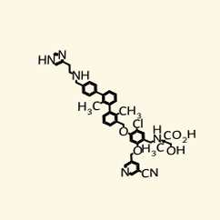 Cc1c(COc2cc(OCc3cncc(C#N)c3)c(CNC(C)(CO)C(=O)O)cc2Cl)cccc1-c1cccc(-c2ccc(CNCCc3c[nH]cn3)cc2)c1C